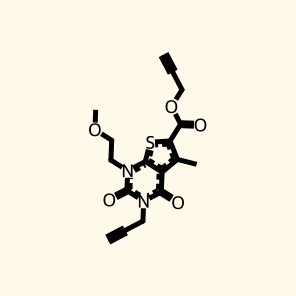 C#CCOC(=O)c1sc2c(c1C)c(=O)n(CC#C)c(=O)n2CCOC